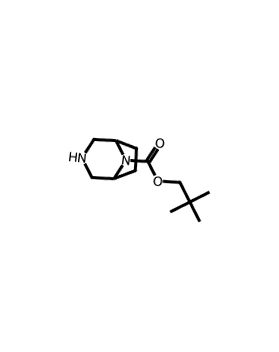 CC(C)(C)COC(=O)N1C2CCC1CNC2